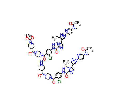 CN(C(=O)C(F)(F)F)c1ccc(-n2cc(-c3cnc(C(=O)Nc4ccc(C(=O)N5CCN(C(=O)C6CCN(C(=O)OC(C)(C)C)CC6)CC5)c(Cl)c4)n3C)c(C(F)(F)F)n2)nc1.CN(C(=O)C(F)(F)F)c1ccc(-n2cc(-c3cnc(C(=O)Nc4ccc(C(=O)N5CCN(C(=O)C6CCNCC6)CC5)c(Cl)c4)n3C)c(C(F)(F)F)n2)nc1